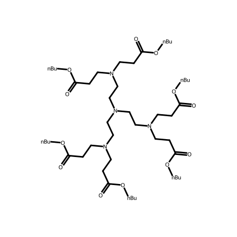 CCCCOC(=O)CCN(CCC(=O)OCCCC)CCN(CCN(CCC(=O)OCCCC)CCC(=O)OCCCC)CCN(CCC(=O)OCCCC)CCC(=O)OCCCC